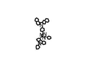 c1ccc(-c2nc(-c3ccc(-n4c5cc6ccccc6cc5c5c6ccccc6ccc54)cc3)nc(-c3cccc4c3c3ccccc3n4-c3ccccc3)n2)cc1